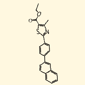 CCOC(=O)c1sc(-c2ccc(-c3ccc4ccccc4c3)cc2)nc1C